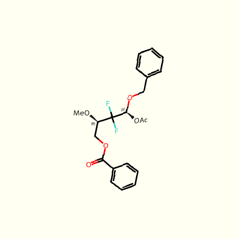 CO[C@H](COC(=O)c1ccccc1)C(F)(F)[C@@H](OCc1ccccc1)OC(C)=O